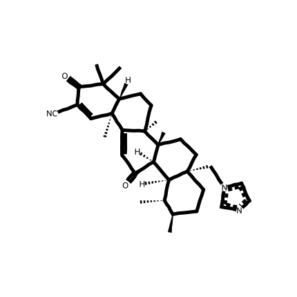 C[C@@H]1[C@H]2[C@H]3C(=O)C=C4[C@@]5(C)C=C(C#N)C(=O)C(C)(C)[C@@H]5CC[C@@]4(C)[C@]3(C)CC[C@@]2(Cn2ccnc2)CC[C@H]1C